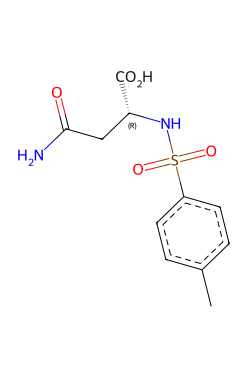 Cc1ccc(S(=O)(=O)N[C@H](CC(N)=O)C(=O)O)cc1